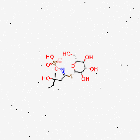 CC[C@](C)(O)CC(=NOS(=O)(=O)O)S[C@@H]1O[C@H](CO)[C@@H](O)[C@H](O)[C@H]1O